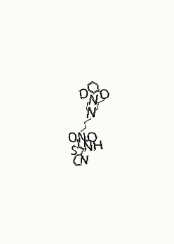 COc1cccc2c1N1CCN(CCCCn3c(=O)[nH]c4c(sc5cccnc54)c3=O)CC1CO2